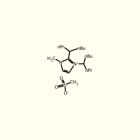 CCCCC(CCC)c1n(C)cc[n+]1C(CCC)CCCC.CS(=O)(=O)[O-]